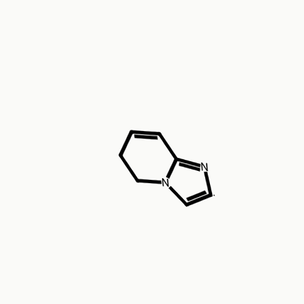 [c]1cn2c(n1)C=CCC2